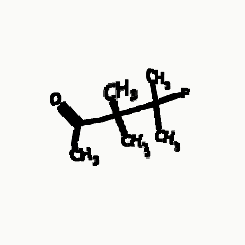 CC(=O)C(C)(C)C(C)(C)F